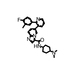 Cc1cc(-c2ncccc2-c2ccc3ncc(C(=O)NC4CCC(N(C)C)CC4)n3c2)ccc1F